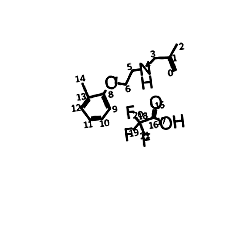 C=C(C)CNCCOc1ccccc1C.O=C(O)C(F)(F)F